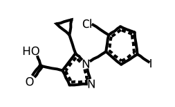 O=C(O)c1cnn(-c2cc(I)ccc2Cl)c1C1CC1